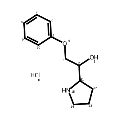 Cl.OC(COc1ccccc1)C1CCCN1